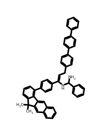 CC1(C)c2cc3ccccc3cc2-c2c(-c3ccc(/C(=C/Cc4ccc(-c5ccc(-c6ccccc6)cc5)cc4)NC(N)c4ccccc4)cc3)cccc21